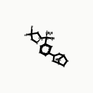 O=C(O)[C@](O)(c1cccc(C2CC3CCC(C2)N3)c1)[C@@H]1CCC(F)(F)C1